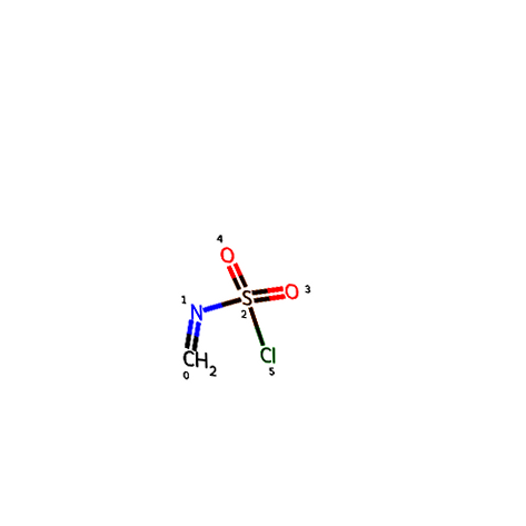 C=NS(=O)(=O)Cl